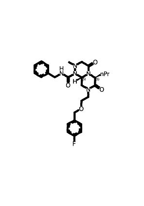 CCC[C@H]1C(=O)N(CCOCc2ccc(F)cc2)C[C@H]2N1C(=O)CN(C)N2C(=O)NCc1ccccc1